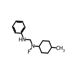 CC1CCC(N(F)CNc2ccccc2)CC1